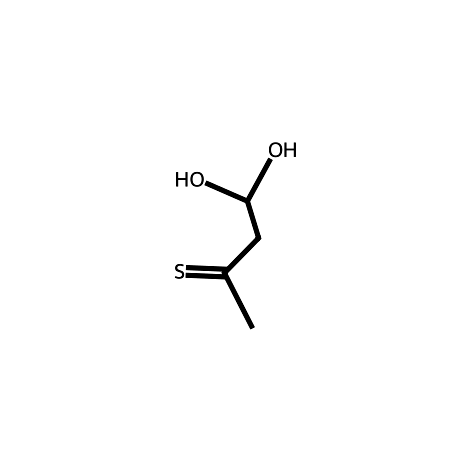 CC(=S)CC(O)O